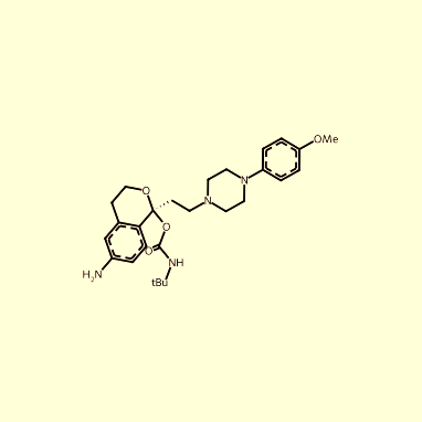 COc1ccc(N2CCN(CC[C@@]3(OC(=O)NC(C)(C)C)OCCc4cc(N)ccc43)CC2)cc1